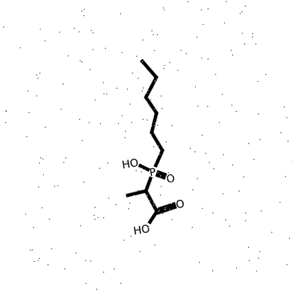 CCCCCCP(=O)(O)C(C)C(=O)O